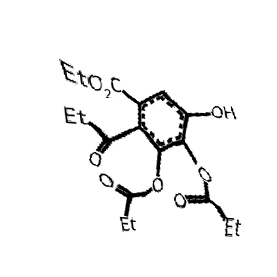 CCOC(=O)c1cc(O)c(OC(=O)CC)c(OC(=O)CC)c1C(=O)CC